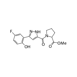 COC(=O)C1CCCN1C(=O)c1cc(-c2cc(F)ccc2O)n[nH]1